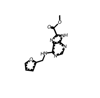 COC(=O)c1nc2c(NCc3ccco3)ncnc2[nH]1